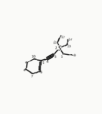 CCS(C#CC1=CCCCC1)(CC)CC